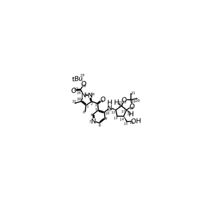 Cc1c(C(=O)c2cnccc2N[C@@H]2C[C@H](CO)[C@H]3OC(C)(C)O[C@H]32)nn(C(=O)OC(C)(C)C)c1C